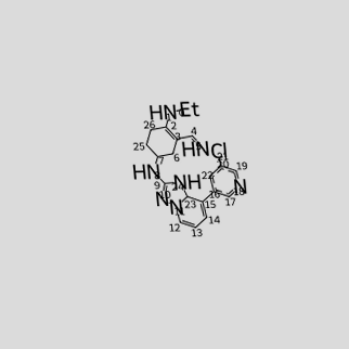 CCNC1=C(C=N)CC(NC2=NN3C=CC=C(c4cncc(Cl)c4)C3N2)CC1